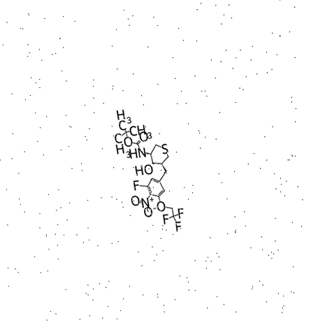 CC(C)(C)OC(=O)N[C@H]1CSC[C@@H](Cc2cc(F)c([N+](=O)[O-])c(OCC(F)(F)F)c2)[C@@H]1O